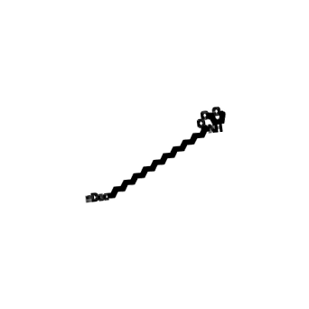 CCCCCCCCCCCCCCCCCCCCCCCCCCCCCC(=O)N[C@H]1CCOC1=O